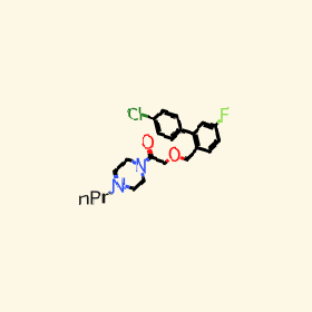 CCCN1CCN(C(=O)COCc2ccc(F)cc2-c2ccc(Cl)cc2)CC1